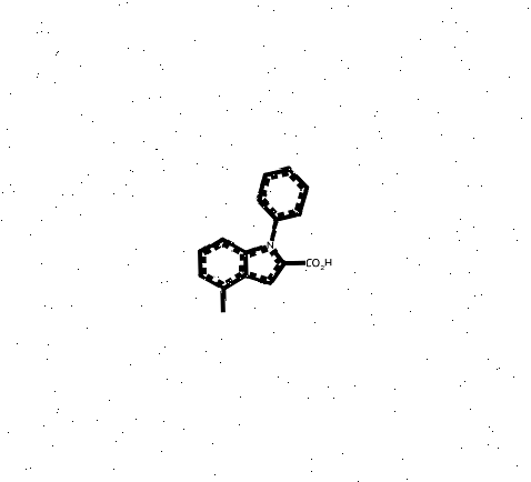 Cc1cccc2c1cc(C(=O)O)n2-c1ccccc1